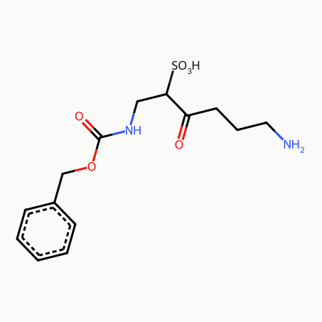 NCCCC(=O)C(CNC(=O)OCc1ccccc1)S(=O)(=O)O